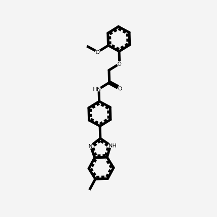 COc1ccccc1OCC(=O)Nc1ccc(-c2nc3cc(C)ccc3[nH]2)cc1